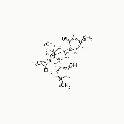 CCC12CC3(c4ccc(C)cc4O)CC(c4ccc(C)cc4O)(C1)CC(C(C)C)(C2)C3